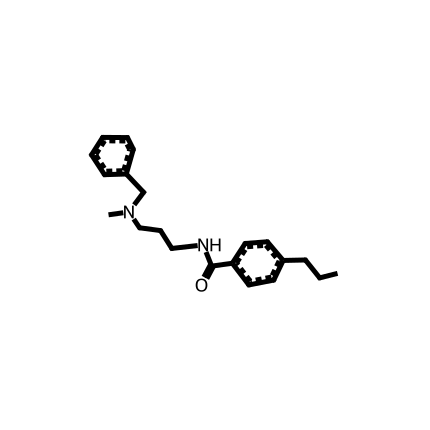 CCCc1ccc(C(=O)NCCCN(C)Cc2ccccc2)cc1